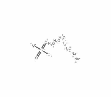 O.O.O.O.O.O=S(=O)([O-])[O-].[Na+].[Na+]